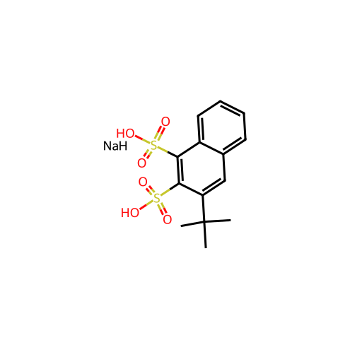 CC(C)(C)c1cc2ccccc2c(S(=O)(=O)O)c1S(=O)(=O)O.[NaH]